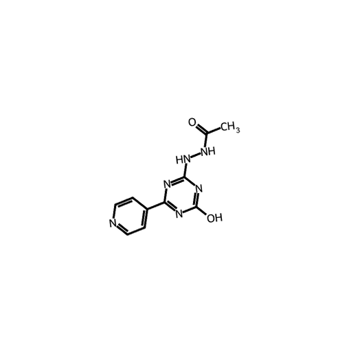 CC(=O)NNc1nc(O)nc(-c2ccncc2)n1